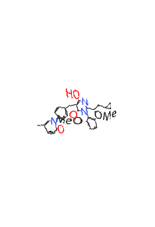 COc1cccc(OC)c1-n1c(CCC2CC2)nc(O)c(Cc2ccc(-n3cc(C)ccc3=O)cc2)c1=O